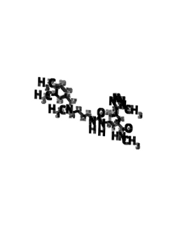 CNC(=O)c1cc(NC(=O)NCCCCN(C)Cc2ccc(C)c(C)c2)cc(-c2nnnn2C)c1